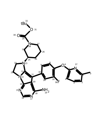 Cc1cccc(Oc2ccc(-c3c4n(c5ncnc(N)c35)CCN4[C@@H]3CCCN(C(=O)OC(C)(C)C)C3)cc2F)n1